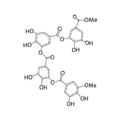 COC(=O)c1cc(O)c(O)c(OC(=O)c2cc(O)c(O)c(OC(=O)c3cc(O)c(O)c(OC(=O)c4cc(O)c(O)c(OC)c4)c3)c2)c1